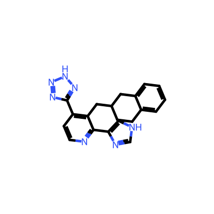 c1ccc2c(c1)CCC(Cc1c(-c3nn[nH]n3)ccnc1-c1c[nH]cn1)C2